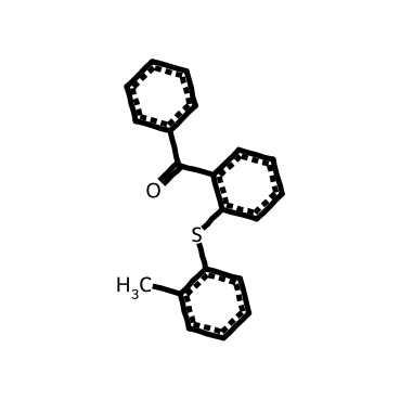 Cc1ccccc1Sc1ccccc1C(=O)c1ccccc1